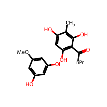 CCCC(=O)c1c(O)cc(O)c(C)c1O.COc1cc(O)cc(O)c1